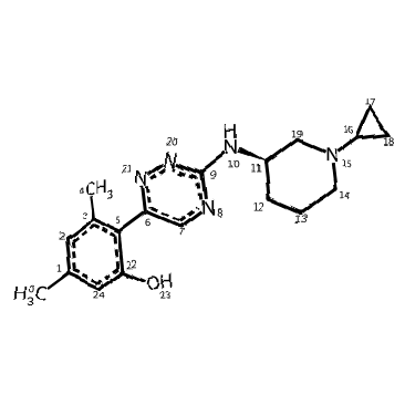 Cc1cc(C)c(-c2cnc(N[C@@H]3CCCN(C4CC4)C3)nn2)c(O)c1